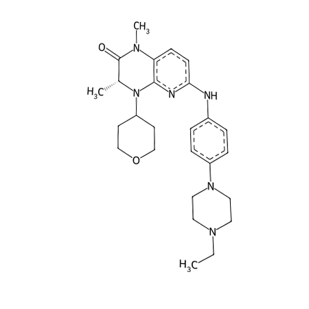 CCN1CCN(c2ccc(Nc3ccc4c(n3)N(C3CCOCC3)[C@H](C)C(=O)N4C)cc2)CC1